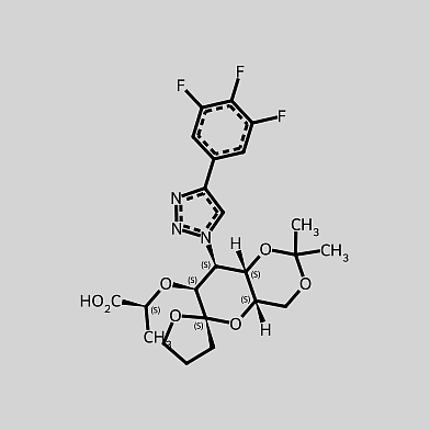 C[C@H](O[C@H]1[C@@H](n2cc(-c3cc(F)c(F)c(F)c3)nn2)[C@@H]2OC(C)(C)OC[C@@H]2O[C@@]12CCCO2)C(=O)O